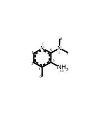 Cc1ccnc(N(C)C)c1N